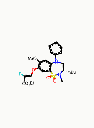 CCCC[C@H]1CN(c2ccccc2)c2cc(SC)c(O/C=C(\F)C(=O)OCC)cc2S(=O)(=O)N1C